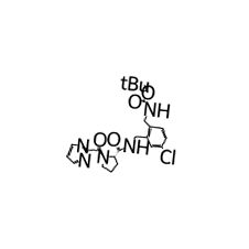 CC(C)(C)OC(=O)NCc1ccc(Cl)cc1CNC(=O)[C@@H]1CCCN1C(=O)c1ncccn1